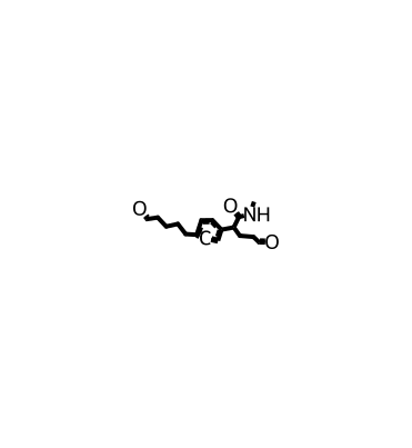 CNC(=O)C(CCC=O)c1ccc(CCCCC=O)cc1